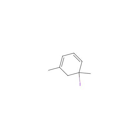 CC1=CC=CC(C)(I)C1